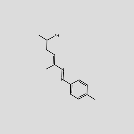 CC(=C\CC(C)S)/N=N/c1ccc(C)cc1